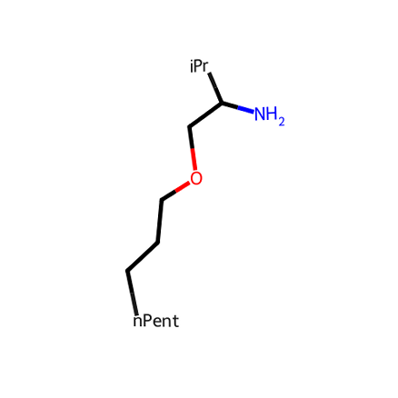 CCCCCCCCOCC(N)C(C)C